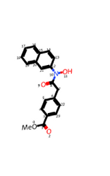 COC(=O)c1ccc(CC(=O)N(O)c2ccc3ccccc3c2)cc1